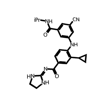 CC(C)NC(=O)c1cc(C#N)cc(Nc2ccc(C(=O)N=C3NCCN3)cc2C2CC2)c1